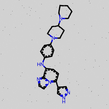 c1cn2c(-c3cn[nH]c3)ccc(Nc3ccc(N4CCC(N5CCCCC5)CC4)cc3)c2n1